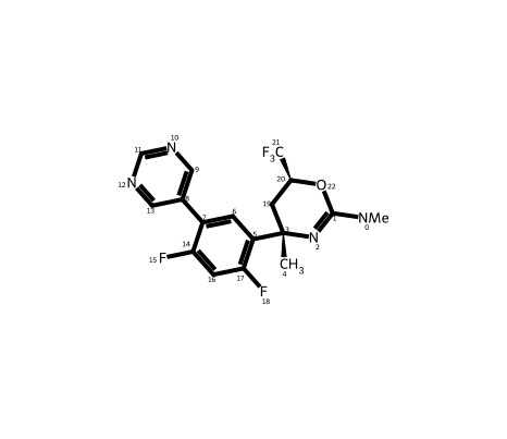 CNC1=N[C@](C)(c2cc(-c3cncnc3)c(F)cc2F)C[C@@H](C(F)(F)F)O1